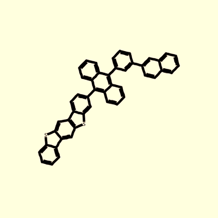 c1cc(-c2ccc3ccccc3c2)cc(-c2c3ccccc3c(-c3ccc4c(c3)sc3cc5c(cc34)sc3ccccc35)c3ccccc23)c1